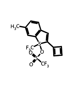 Cc1ccc2c(c1)S(OS(=O)(=O)C(F)(F)F)(C(F)(F)F)C(C1=CC=C1)=C2